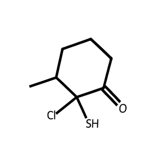 CC1CCCC(=O)C1(S)Cl